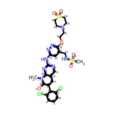 Cn1c(=O)c(-c2c(Cl)cccc2Cl)cc2cnc(Nc3cc(CNS(C)(=O)=O)c(OCCN4CCS(=O)(=O)CC4)nn3)nc21